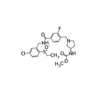 CC[S+]([O-])c1ccc(Cl)cc1CNC(=O)c1ccc(CN2CC[C@@H](NC(=O)OC)C2)c(F)c1